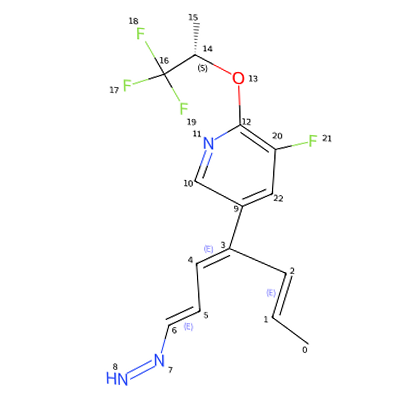 C/C=C/C(=C\C=C\N=N)c1cnc(O[C@@H](C)C(F)(F)F)c(F)c1